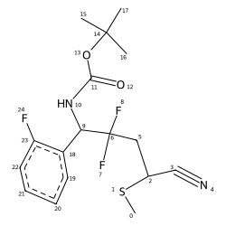 CSC(C#N)CC(F)(F)C(NC(=O)OC(C)(C)C)c1ccccc1F